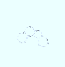 Clc1nc2ncccc2c2c1sc1ccccc12